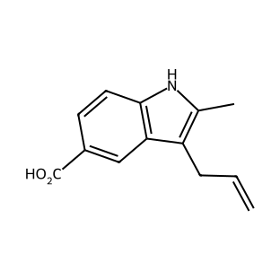 C=CCc1c(C)[nH]c2ccc(C(=O)O)cc12